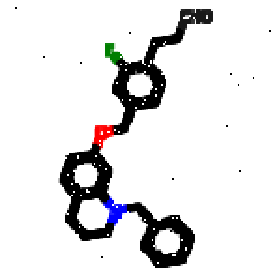 O=CCCc1ccc(COc2ccc3c(c2)N(Cc2ccccc2)CCC3)cc1F